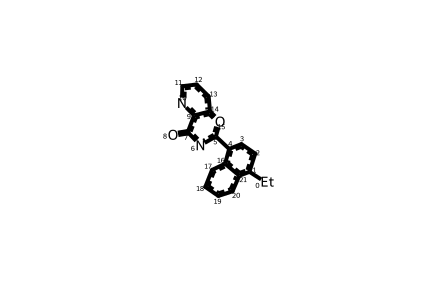 CCc1ccc(-c2nc(=O)c3ncccc3o2)c2ccccc12